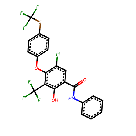 O=C(Nc1ccccc1)c1cc(Cl)c(Oc2ccc(SC(F)(F)F)cc2)c(C(F)(F)F)c1O